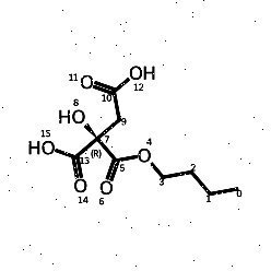 CCCCOC(=O)[C@@](O)(CC(=O)O)C(=O)O